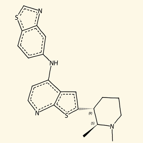 C[C@H]1[C@H](c2cc3c(Nc4ccc5scnc5c4)ccnc3s2)CCCN1C